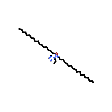 CCCCCCCCCCCCCCCCCCN(CCCCCCCCCCCCCCCCCC)C(CC)[N+](C)(C)C.[Br-]